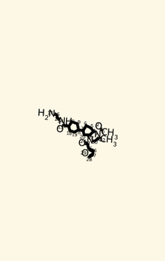 CC(=O)N1C2CCC(C3CCC(C(=O)NCCN)CC3)CC2N(C(=O)c2ccco2)C[C@@H]1C